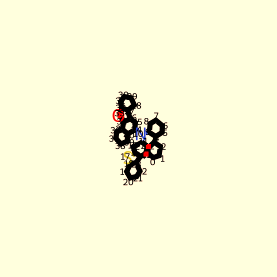 c1ccc(-c2ccccc2N(c2ccc3c(c2)sc2ccccc23)c2cc3c4ccccc4oc3c3ccccc23)cc1